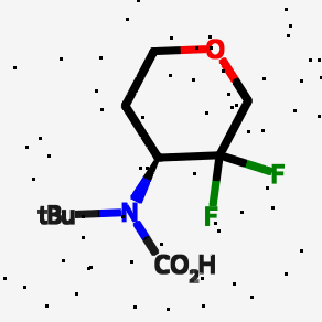 CC(C)(C)N(C(=O)O)[C@H]1CCOCC1(F)F